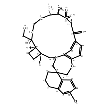 C[C@@H]1[C@@H](C)CCC[C@@](O)(CO)[C@@H]2CC[C@H]2CN2C[C@@]3(CCCc4cc(Cl)ccc43)COc3ccc(cc32)C(=O)NS1(=O)=O